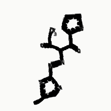 Cc1cnc(N=NC(C(=O)c2cccs2)C(=O)C(F)(F)F)s1